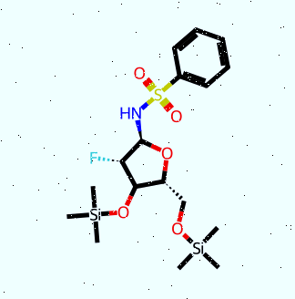 C[Si](C)(C)OC[C@H]1O[C@H](NS(=O)(=O)c2ccccc2)[C@@H](F)C1O[Si](C)(C)C